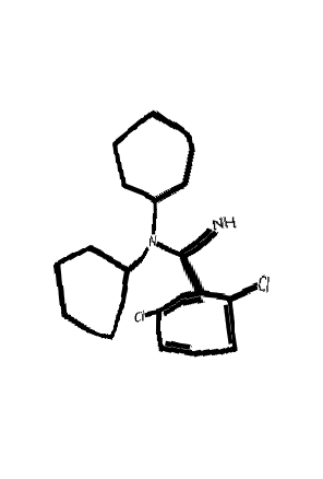 N=C(c1c(Cl)cccc1Cl)N(C1CCCCC1)C1CCCCC1